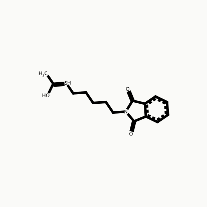 CC(O)=[SH]CCCCCN1C(=O)c2ccccc2C1=O